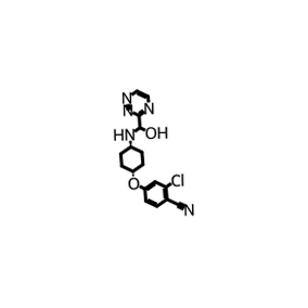 N#Cc1ccc(O[C@H]2CC[C@H](NC(O)c3nccnn3)CC2)cc1Cl